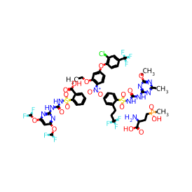 CCOc1cc(Oc2ccc(C(F)(F)F)cc2Cl)ccc1[N+](=O)[O-].COc1nc(C)nc(NC(=O)NS(=O)(=O)c2ccccc2CCC(F)(F)F)n1.CP(=O)(O)CCC(N)C(=O)O.O=C(Nc1nc(OC(F)F)cc(OC(F)F)n1)NS(=O)(=O)c1ccccc1C(=O)O